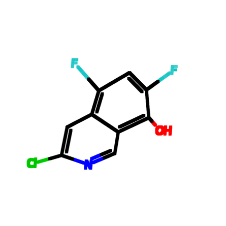 Oc1c(F)cc(F)c2cc(Cl)ncc12